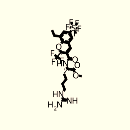 CCc1cc(S(F)(F)(F)(F)F)cc2c1O[C@H](C(F)(F)F)C(C(=O)N[C@@H](CCCCNC(=N)N)C(=O)OC)=C2